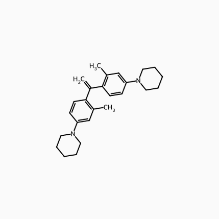 C=C(c1ccc(N2CCCCC2)cc1C)c1ccc(N2CCCCC2)cc1C